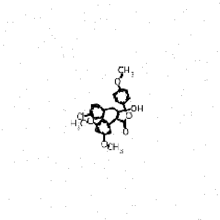 CCOc1ccc(C2(O)OC(=O)C(c3cc(OC)cc(OC)c3)=C2Cc2ccc(Cl)cc2)cc1